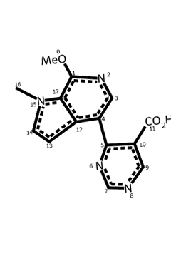 COc1ncc(-c2ncncc2C(=O)O)c2ccn(C)c12